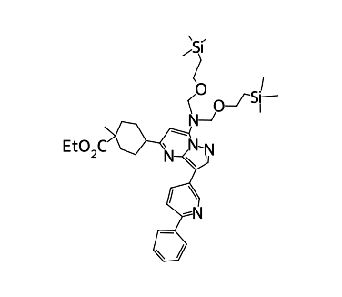 CCOC(=O)C1(C)CCC(c2cc(N(COCC[Si](C)(C)C)COCC[Si](C)(C)C)n3ncc(-c4ccc(-c5ccccc5)nc4)c3n2)CC1